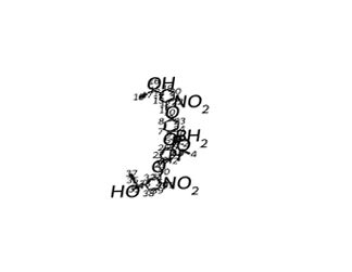 B[PH](OC=C)(Oc1ccc(OCc2cc(C(O)C#C)ccc2[N+](=O)[O-])cc1)c1ccc(OCc2cc(C(O)C#C)ccc2[N+](=O)[O-])cc1